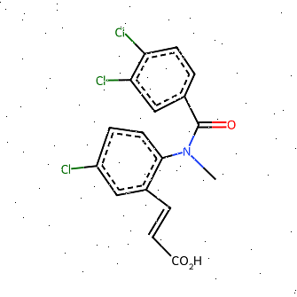 CN(C(=O)c1ccc(Cl)c(Cl)c1)c1ccc(Cl)cc1C=CC(=O)O